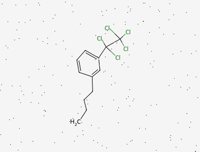 [CH2]CCCc1cccc(C(Cl)(Cl)C(Cl)(Cl)Cl)c1